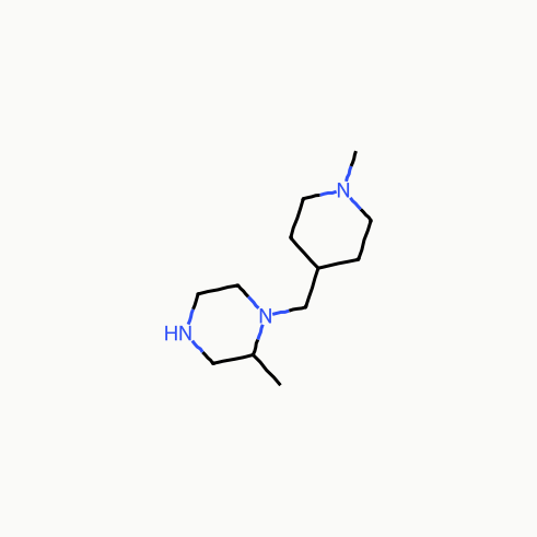 CC1CNCCN1CC1CCN(C)CC1